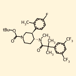 Cc1cc(F)ccc1[C@@H]1CN(C(=O)OC(C)(C)C)CC[C@H]1N(C)C(=O)C(C)(C)c1cc(C(F)(F)F)cc(C(F)(F)F)c1